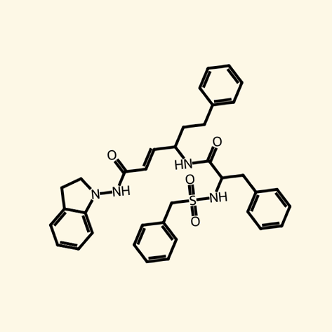 O=C(C=CC(CCc1ccccc1)NC(=O)C(Cc1ccccc1)NS(=O)(=O)Cc1ccccc1)NN1CCc2ccccc21